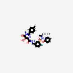 CCOC(=O)C(C)NP(=O)(Oc1ccccc1)c1cc(CNC(=O)c2nc(-c3ccc(C)cc3)n(C)c(=O)c2O)ccc1F